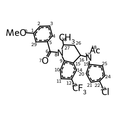 COc1cccc(C(=O)N2c3ccc(C(F)(F)F)cc3C(N(C(C)=O)c3ccc(Cl)cc3)CC2C)c1